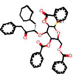 CCSC1OC(COC(=O)c2ccccc2)C(OC(=O)c2ccccc2)C(O[C@@H](CC2CCCCC2)C(=O)Cc2ccccc2)C1OC(=O)c1ccccc1